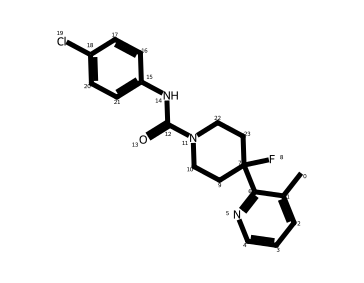 Cc1cccnc1C1(F)CCN(C(=O)Nc2ccc(Cl)cc2)CC1